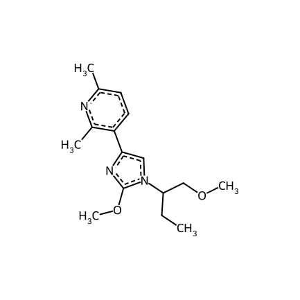 CCC(COC)n1cc(-c2ccc(C)nc2C)nc1OC